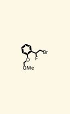 COCOc1ccccc1C(F)CBr